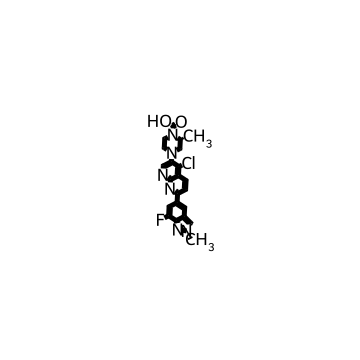 C[C@H]1CN(c2cnc3nc(-c4cc(F)c5nn(C)cc5c4)ccc3c2Cl)CCN1C(=O)O